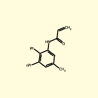 C=CC(=O)Nc1cc(C)cc(CCC)c1C(C)C